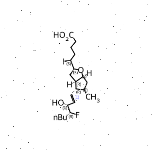 CCCC[C@@H](F)[C@H](O)/C=C/[C@@H]1[C@H]2C[C@@H]([C@@H](I)CCCC(=O)O)O[C@H]2C[C@H]1C